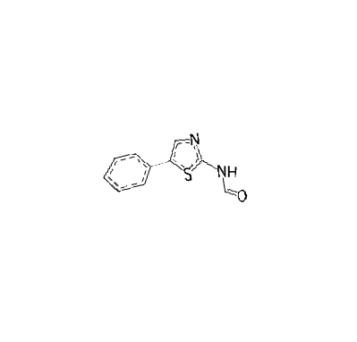 O=CNc1ncc(-c2ccccc2)s1